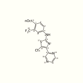 CCCCCCCCc1ccc(Nc2nc(-c3cnccn3)c(Cl)s2)cc1C(F)(F)F